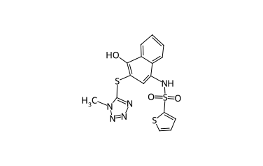 Cn1nnnc1Sc1cc(NS(=O)(=O)c2cccs2)c2ccccc2c1O